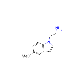 COc1ccc2c(ccn2CCN)c1